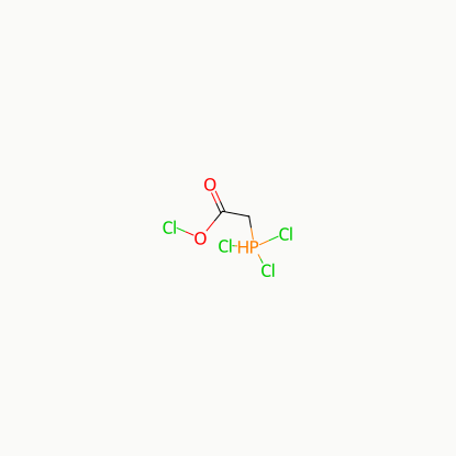 O=C(C[PH](Cl)(Cl)Cl)OCl